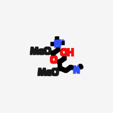 C=NCCC(OC)C(CO)OC(C[N+](C)(C)C)OC